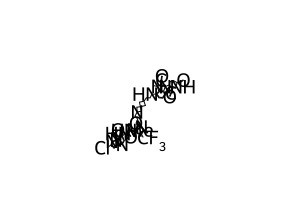 COC(C)c1c(NC(=O)Nc2cc(C(F)(F)F)cnc2OCCN2CC3(CC(CCNc4cccc5c4N(C)C(=C=O)N5C4CCC(=C=O)NC4=C=O)C3)C2)cnc2cc(Cl)nn12